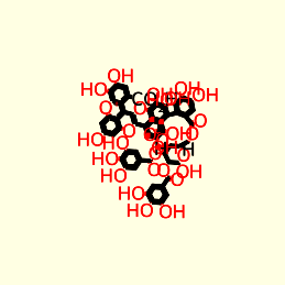 O=C(O[C@@H]1[C@@H](OC(=O)c2cc(O)c(O)c(O)c2)[C@H](O)O[C@@H]2COC(=O)c3cc(O)c(O)c(O)c3-c3c(cc(OC4=C(c5ccc(O)c(O)c5)Oc5cc(O)cc6[o+]c7c(O)c(O)cc(C(=O)O)c7c4c56)c(O)c3O)C(=O)O[C@@H]12)c1cc(O)c(O)c(O)c1